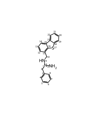 NN(Cc1ccccc1)NCc1cccc2c1sc1ccccc12